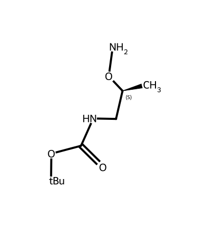 C[C@@H](CNC(=O)OC(C)(C)C)ON